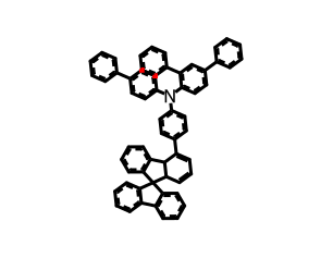 C1=CC2C(C(c3ccc(N(c4ccc(-c5ccccc5)cc4)c4ccc(-c5ccccc5)cc4-c4ccccc4)cc3)=C1)c1ccccc1C21c2ccccc2-c2ccccc21